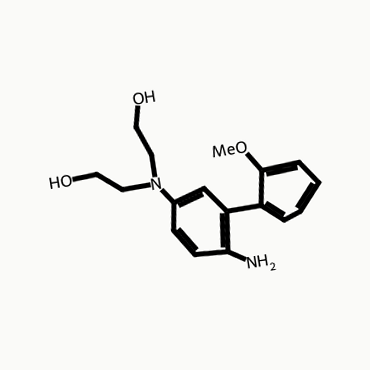 COc1ccccc1-c1cc(N(CCO)CCO)ccc1N